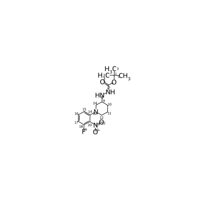 CC(C)(C)OC(=O)NNC1CCCN(c2cccc(F)c2[N+](=O)[O-])C1